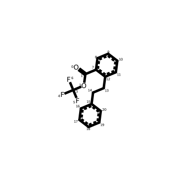 O=C(OC(F)(F)F)c1ccccc1CCc1ccccc1